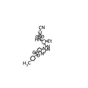 CC[C@@H]1C[C@H](NS(=O)(=O)N2CC(C#N)C2)C[C@@H]1c1nnc2cnc3c(ccn3S(=O)(=O)c3ccc(C)cc3)n12